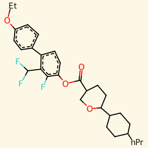 CCCC1CCC(C2CCC(C(=O)Oc3ccc(-c4ccc(OCC)cc4)c(C(F)F)c3F)CO2)CC1